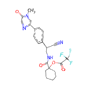 Cn1cc(-c2ccc(C(C#N)CNC(=O)C3(OC(=O)C(F)(F)F)CCCCC3)cc2)ncc1=O